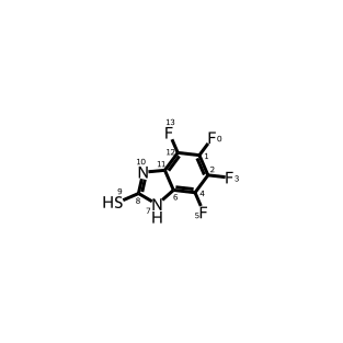 Fc1c(F)c(F)c2[nH]c(S)nc2c1F